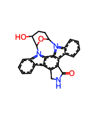 O=C1NCc2c1c1c3ccccc3n3c1c1c2c2ccccc2n1C1OC3CCC1O